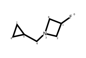 FC1CN(CC2CC2)C1